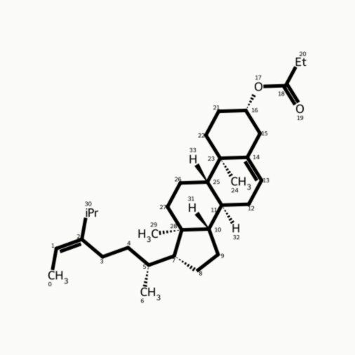 C/C=C(\CC[C@@H](C)[C@H]1CC[C@H]2[C@@H]3CC=C4C[C@@H](OC(=O)CC)CC[C@]4(C)[C@H]3CC[C@]12C)C(C)C